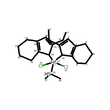 CCC1=CC2=C(CCCC2)[CH]1[Hf]([Cl])([Cl])([CH]1C(CC)=CC2=C1CCCC2)[SiH](C)C